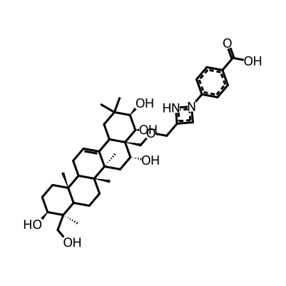 CC1(C)CC2C3=CCC4[C@@]5(C)CC[C@H](O)[C@](C)(CO)C5CC[C@@]4(C)[C@]3(C)C[C@@H](O)[C@@]2(COCc2cn(-c3ccc(C(=O)O)cc3)[nH]2)[C@@H](O)[C@@H]1O